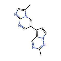 Cc1ncc2c(-c3cnc4ncc(C)n4c3)ccn2n1